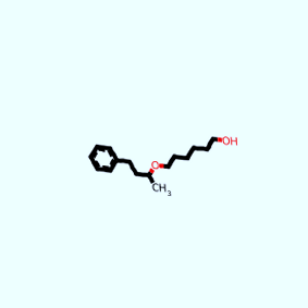 CC(CCc1ccccc1)OCCCCCCO